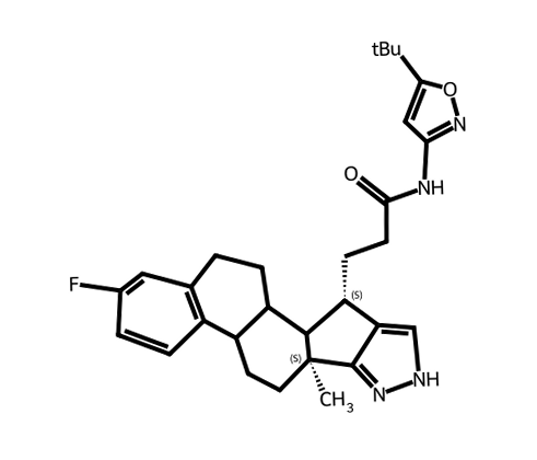 CC(C)(C)c1cc(NC(=O)CC[C@@H]2c3c[nH]nc3[C@@]3(C)CCC4c5ccc(F)cc5CCC4C23)no1